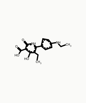 CCNc1ccc(-c2[nH]c(=O)c(C(=O)O)c(O)c2CC)cc1